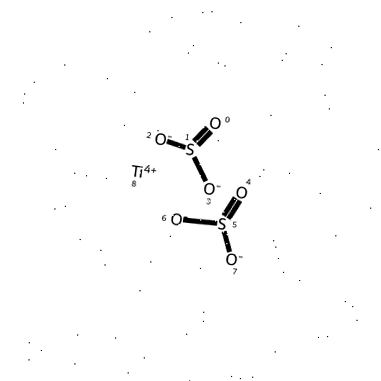 O=S([O-])[O-].O=S([O-])[O-].[Ti+4]